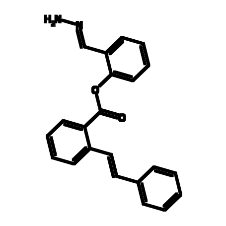 NN=Cc1ccccc1OC(=O)c1ccccc1C=Cc1ccccc1